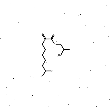 C=C(CCCCCC(O)O)C(=O)OCC(C)O